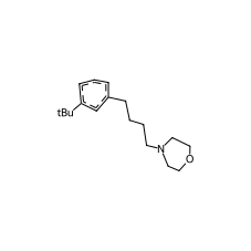 CC(C)(C)c1cccc(CCCCN2CCOCC2)c1